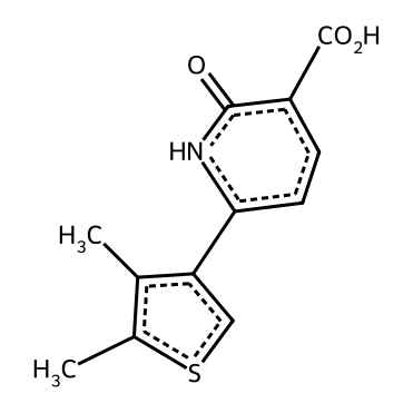 Cc1scc(-c2ccc(C(=O)O)c(=O)[nH]2)c1C